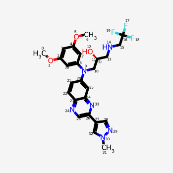 COc1cc(OC)cc(N(C[C@@H](O)CNCC(F)(F)F)c2ccc3ncc(-c4cnn(C)c4)nc3c2)c1